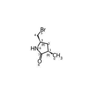 C[C@@H]1C[C@H](CBr)NC1=O